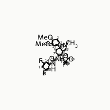 COc1ccc(C23CCC(NC(=O)Nc4cc(F)cc(F)c4)CC2CN(C)C3)cc1OC.O=C(O)C(F)(F)F